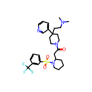 CN(C)CCC1(c2cccnc2)CCN(C(=O)CC2CCCCN2S(=O)(=O)c2cccc(C(F)(F)F)c2)CC1